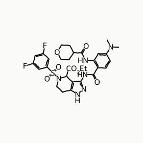 CCOC(=O)C1c2c(NC(=O)c3ccc(N(C)C)cc3NC(=O)C3CCOCC3)n[nH]c2CCN1S(=O)(=O)c1cc(F)cc(F)c1